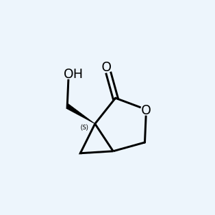 O=C1OCC2C[C@]12CO